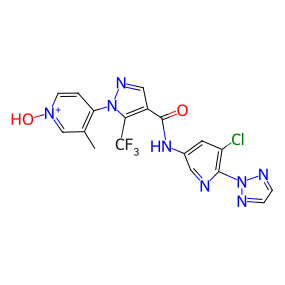 Cc1c[n+](O)ccc1-n1ncc(C(=O)Nc2cnc(-n3nccn3)c(Cl)c2)c1C(F)(F)F